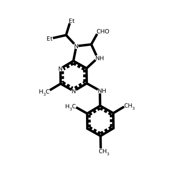 CCC(CC)N1c2nc(C)nc(Nc3c(C)cc(C)cc3C)c2NC1C=O